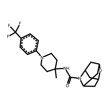 CC1(NC(=O)N2C3CC4CC2CC(C3)O4)CCN(c2ccc(C(F)(F)F)cc2)CC1